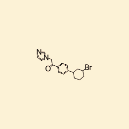 O=C(Cn1ccnc1)c1ccc(C2CCCC(Br)C2)cc1